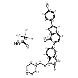 Cc1nc2cc(-n3cnc4cc(-c5ccc(Cl)cc5)sc4c3=O)ccc2n1CCN1CCOCC1.O=C(O)C(F)(F)F